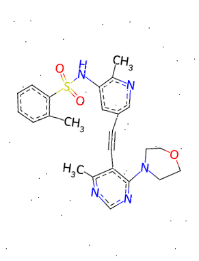 Cc1ccccc1S(=O)(=O)Nc1cc(C#Cc2c(C)ncnc2N2CCOCC2)cnc1C